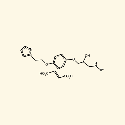 CC(C)NCC(O)COc1ccc(OCCn2cccn2)cc1.O=C(O)C=CC(=O)O